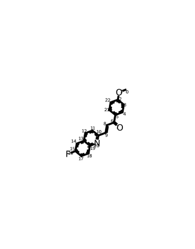 COc1ccc(C(=O)/C=C/c2ccc3cc(F)ccc3n2)cc1